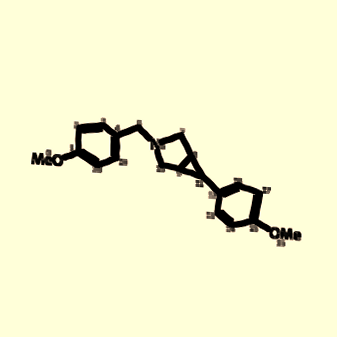 COc1ccc(CN2CC3C(C2)C3c2ccc(OC)cc2)cc1